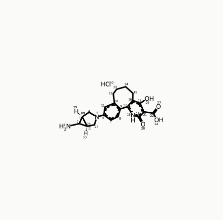 Cl.NC1[C@H]2CN(c3ccc4c(c3)CCCCc3c-4[nH]c(=O)c(C(=O)O)c3O)C[C@@H]12